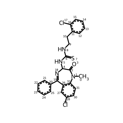 CN1C(=O)C(NC(=S)NCCc2ccccc2Cl)N=C(c2ccccc2)c2cc(Cl)ccc21